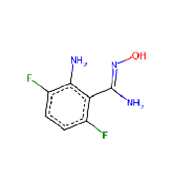 NC(=NO)c1c(F)ccc(F)c1N